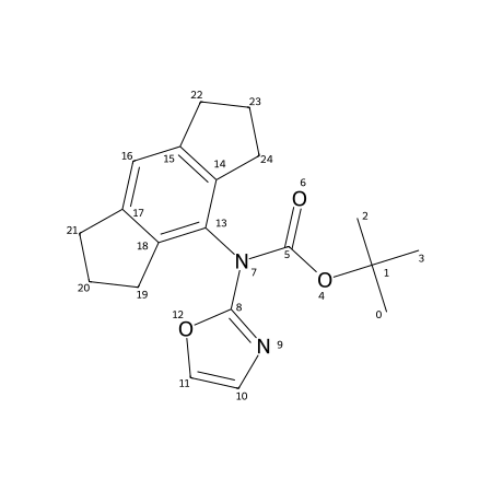 CC(C)(C)OC(=O)N(c1ncco1)c1c2c(cc3c1CCC3)CCC2